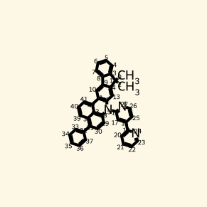 CC1(C)c2ccccc2-c2cc3c(cc21)N(c1cc(-c2ccccn2)ccn1)c1ccc(-c2ccccc2)c2cccc-3c12